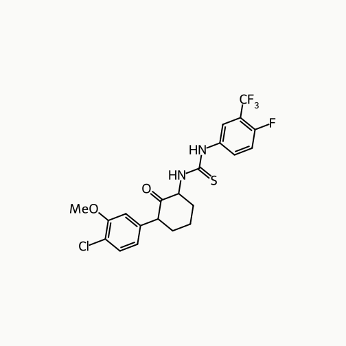 COc1cc(C2CCCC(NC(=S)Nc3ccc(F)c(C(F)(F)F)c3)C2=O)ccc1Cl